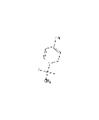 CCCC1=CCC(C(C)(F)F)C=C1